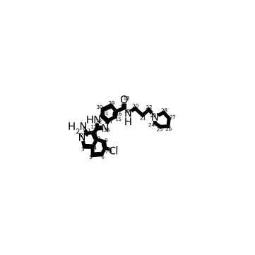 Nc1ncc2ccc(Cl)cc2c1-c1nc2cc(C(=O)NCCCN3CCCCC3)ccc2[nH]1